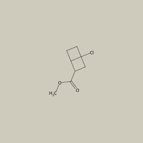 COC(=O)C1CC2(Cl)CCC12